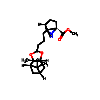 COC(=O)[C@]12CC[C@@H](CN1)[C@H]2CCCB1O[C@@H]2C[C@@H]3C[C@@H](C3(C)C)[C@]2(C)O1